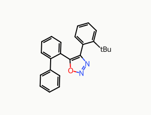 CC(C)(C)c1ccccc1-c1nnoc1-c1ccccc1-c1ccccc1